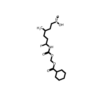 CC(CCC(F)NC(=O)OCOC(=O)C1CCCCC1)CC[PH](=O)O